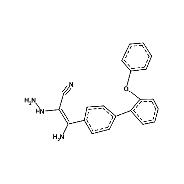 N#C/C(NN)=C(/N)c1ccc(-c2ccccc2Oc2ccccc2)cc1